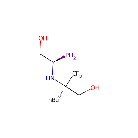 CCCC[C@](CO)(N[C@H](P)CO)C(F)(F)F